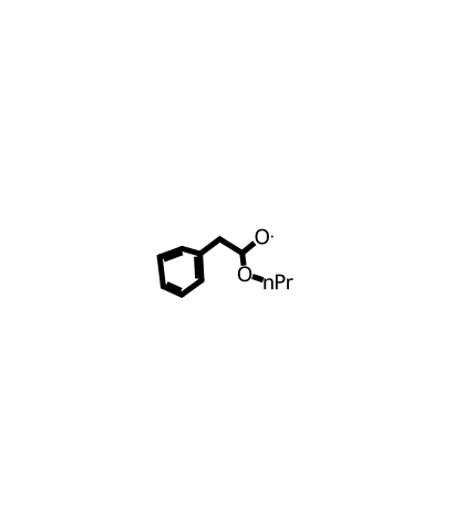 CCCOC([O])Cc1ccccc1